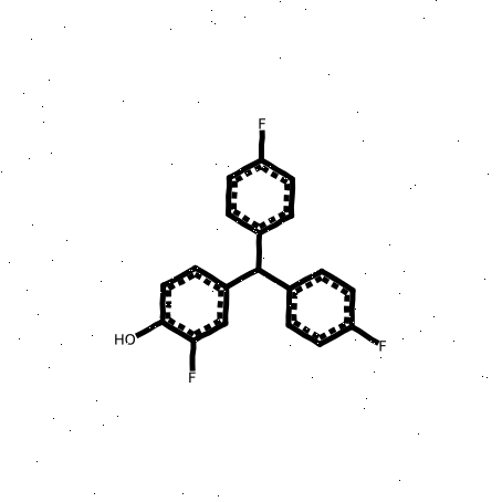 Oc1ccc(C(c2ccc(F)cc2)c2ccc(F)cc2)cc1F